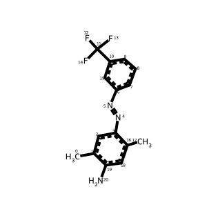 Cc1cc(N=Nc2cccc(C(F)(F)F)c2)c(C)cc1N